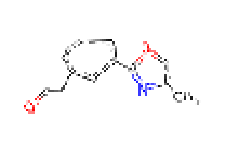 Cc1coc(-c2cccc(CC=O)c2)n1